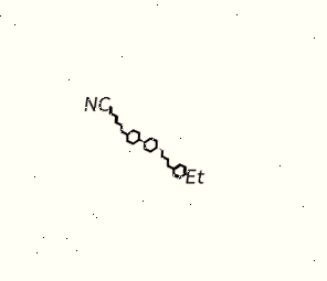 CCc1ccc(CCCC[C@H]2CC[C@H](C3CCC(CC/C=C/C=C/C#N)CC3)CC2)cc1